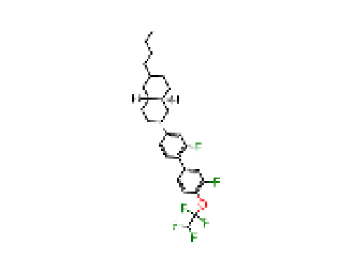 CCCCC1CC[C@@H]2C[C@H](c3ccc(-c4ccc(OC(F)(F)C(F)F)c(F)c4)c(F)c3)CC[C@@H]2C1